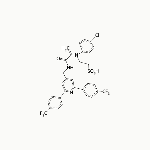 C=C(C(=O)NCc1cc(-c2ccc(C(F)(F)F)cc2)nc(-c2ccc(C(F)(F)F)cc2)c1)N(CCS(=O)(=O)O)c1ccc(Cl)cc1